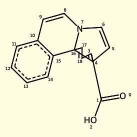 O=C(O)C1=C2C=CN3C=Cc4ccccc4C23C=C1